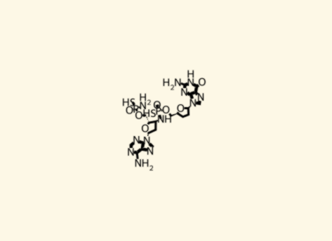 Nc1nc2c(ncn2[C@H]2CC[C@@H](COP(=O)(S)N[C@H]3C[C@H](n4cnc5c(N)ncnc54)O[C@@H]3COP(N)(=O)S)O2)c(=O)[nH]1